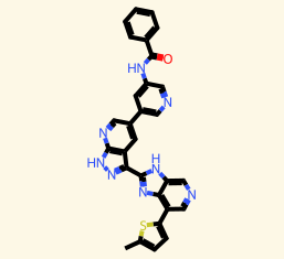 Cc1ccc(-c2cncc3[nH]c(-c4n[nH]c5ncc(-c6cncc(NC(=O)c7ccccc7)c6)cc45)nc23)s1